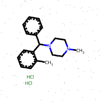 Cc1ccccc1C(c1ccccc1)N1CCN(C)CC1.Cl.Cl